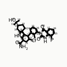 Cc1c(C2c3c([nH]c4c3CC[C@H](C(C)(C)O)C4)C(C(N)=O)CC2Cl)cccc1-n1c(=O)[nH]c2c(F)cccc2c1=O